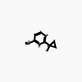 CC(C)(C)c1ccnc(C2(C)CC2)n1